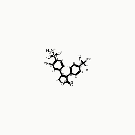 NS(=O)(=O)c1ccc(C2=C(c3ccc(C(F)(F)F)cc3)C(=O)OC2)cc1F